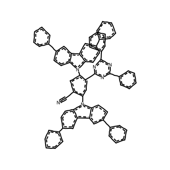 N#Cc1cc(-n2c3ccc(-c4ccccc4)cc3c3cc(-c4ccccc4)ccc32)c(-c2nc(-c3ccccc3)nc(-c3ccccc3)n2)cc1-n1c2ccc(-c3ccccc3)cc2c2cc(-c3ccccc3)ccc21